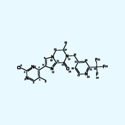 Cc1cnc(Cl)nc1-c1cn2c(n1)C(=O)N(Cc1ccnc(C(F)(F)F)c1)C(C)C2